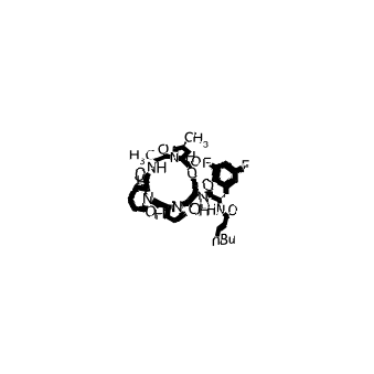 CCCC/C=C/C(=O)N[C@@H](Cc1cc(F)cc(F)c1)C(=O)N[C@H]1COC(=O)[C@@H]2C[C@H](C)CN2C(=O)[C@H](C)NC(=O)[C@@H]2CCCCN2C(=O)[C@@H]2CCCN2C1=O